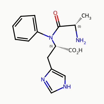 C[C@H](N)C(=O)N(c1ccccc1)[C@@H](Cc1c[nH]cn1)C(=O)O